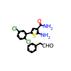 NC(=O)c1cc(-c2cc(Cl)ccc2Cl)sc1N.O=CCc1ccccc1